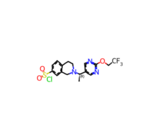 C[C@H](c1cnc(OCC(F)(F)F)nc1)N1CCc2ccc(S(=O)(=O)Cl)cc2C1